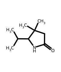 CC(C)C1NC(=O)CC1(C)C